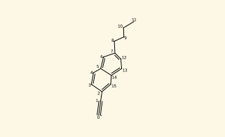 [C]#Cc1ccc2cc(CCCC)ccc2c1